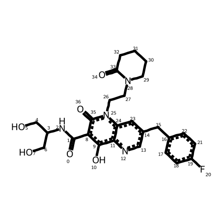 O=C(NC(CO)CO)c1c(O)c2ncc(Cc3ccc(F)cc3)cc2n(CCN2CCCCC2=O)c1=O